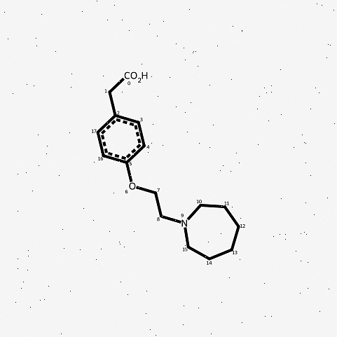 O=C(O)Cc1ccc(OCCN2CCCCCC2)cc1